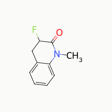 CN1C(=O)C(F)Cc2ccccc21